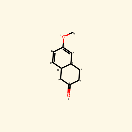 COC1=CC2CCC(=O)CC2C=C1